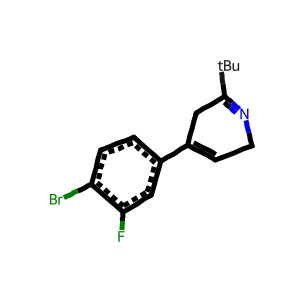 CC(C)(C)C1=NCC=C(c2ccc(Br)c(F)c2)C1